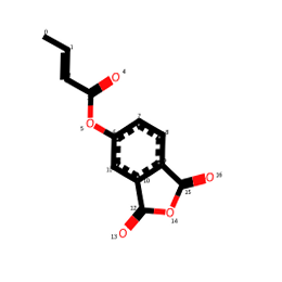 CC=CC(=O)Oc1ccc2c(c1)C(=O)OC2=O